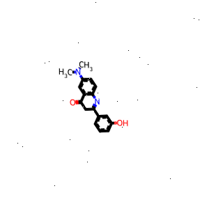 CN(C)c1ccc2c(c1)C(=O)CC(c1cccc(O)c1)=N2